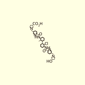 Cc1c(NC(=O)c2ccc(CN3CCC(C(=O)O)C3)cn2)cccc1-c1cccc(NC(=O)c2ccc(CN3CCC(O)C3)cn2)c1Cl